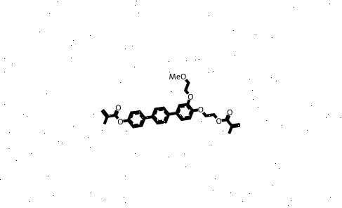 C=C(C)C(=O)OCCOc1ccc(-c2ccc(-c3ccc(OC(=O)C(=C)C)cc3)cc2)cc1OCCOC